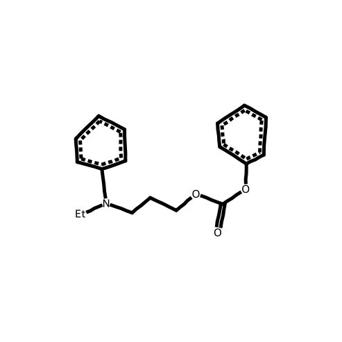 CCN(CCCOC(=O)Oc1ccccc1)c1ccccc1